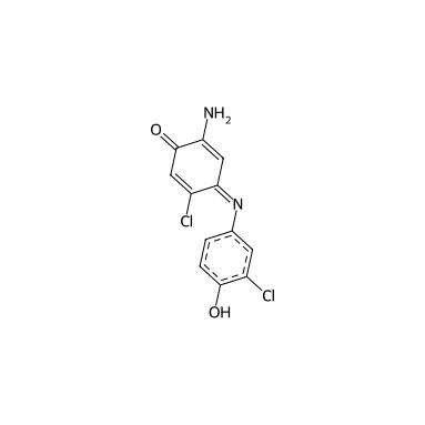 NC1=CC(=Nc2ccc(O)c(Cl)c2)C(Cl)=CC1=O